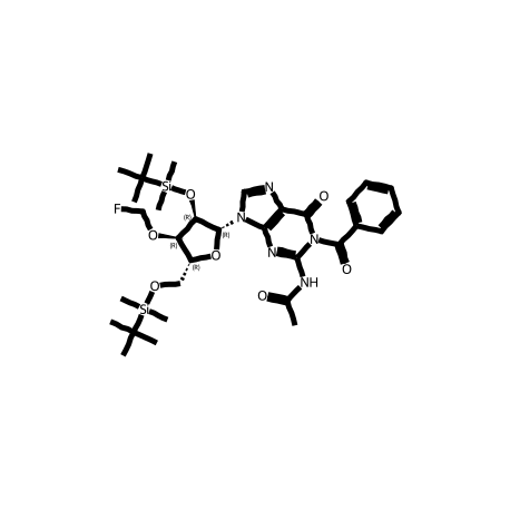 CC(=O)Nc1nc2c(ncn2[C@@H]2O[C@H](CO[Si](C)(C)C(C)(C)C)[C@@H](OCF)[C@H]2O[Si](C)(C)C(C)(C)C)c(=O)n1C(=O)c1ccccc1